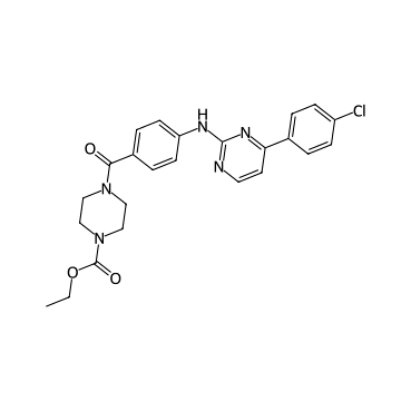 CCOC(=O)N1CCN(C(=O)c2ccc(Nc3nccc(-c4ccc(Cl)cc4)n3)cc2)CC1